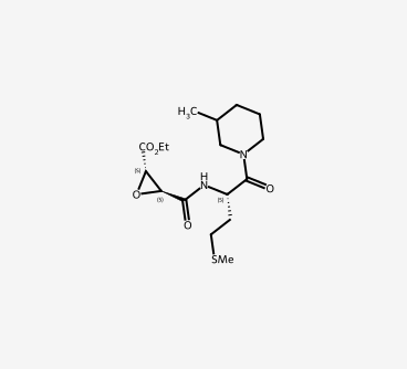 CCOC(=O)[C@H]1O[C@@H]1C(=O)N[C@@H](CCSC)C(=O)N1CCCC(C)C1